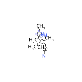 C=C(C)CC1=C(C(=C)C(=C=N)/C=C\C(C#N)=C/CC)C=C(CC)C(CC2CCC(C#N)CC2)C1